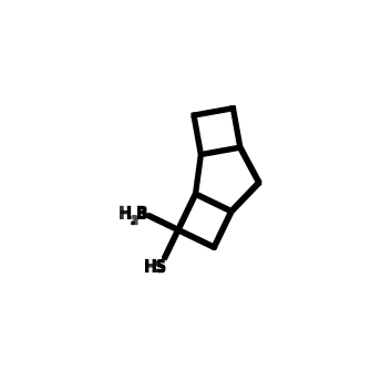 BC1(S)CC2CC3CCC3C21